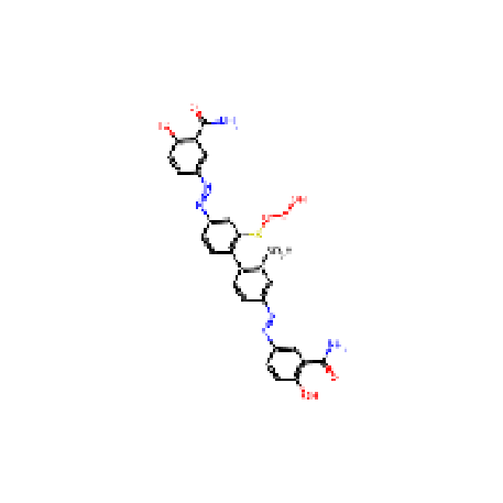 NC(=O)c1cc(N=Nc2ccc(-c3ccc(N=Nc4ccc(O)c(C(N)=O)c4)cc3S(=O)(=O)O)c(SOOO)c2)ccc1O